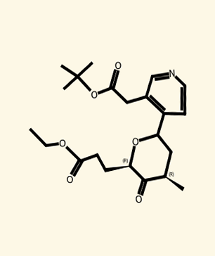 CCOC(=O)CC[C@H]1OC(c2ccncc2CC(=O)OC(C)(C)C)C[C@@H](C)C1=O